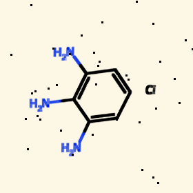 Nc1cccc(N)c1N.[C]